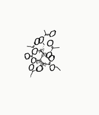 CCOC(=O)[C@H](OC(C)=O)[C@@H](OC(C)=O)[C@@H](OC(C)=O)[C@@H](COC(C)=O)OC(C)=O